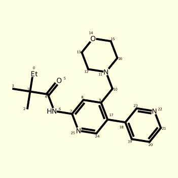 CCC(C)(C)C(=O)Nc1cc(CN2CCOCC2)c(-c2cccnc2)cn1